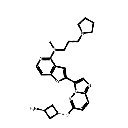 CN(CCCN1CCCC1)c1nccc2oc(-c3cnc4ccc(O[C@H]5C[C@H](N)C5)nn34)cc12